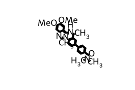 COc1cc2nc(C)nc(NC(C)c3cccc(-c4ccc(C(=O)N(C)C)cc4)c3)c2cc1OC